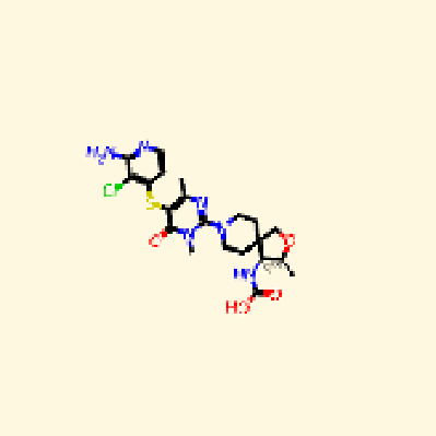 Cc1nc(N2CCC3(CC2)CO[C@@H](C)[C@H]3NC(=O)O)n(C)c(=O)c1Sc1ccnc(N)c1Cl